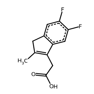 CC1=C(CC(=O)O)c2cc(F)c(F)cc2C1